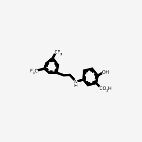 O=C(O)c1cc(NCCc2cc(C(F)(F)F)cc(C(F)(F)F)c2)ccc1O